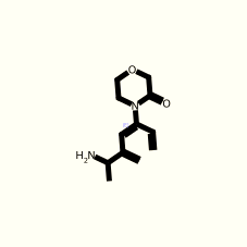 C=C/C(=C\C(=C)C(C)N)N1CCOCC1=O